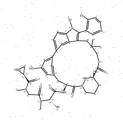 CCc1ccncc1-c1c2c3cc(ccc3n1CC)-c1cc(O)cc(c1)C[C@H](NC(=O)[C@H](C(C)C)N(C)C(=O)CN(C)C(=O)[C@@H]1CN1)C(=O)N1CCC[C@H](N1)C(=O)OCC(C)(C)C2